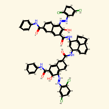 O=C(Nc1ccccc1)c1ccc2c(N=Nc3cc(Cl)ccc3Cl)c(O)c(C(=O)NC3=CC(NC(=O)c4ccc5c(N=Nc6cc(Cl)ccc6Cl)c(O)c(C(=O)Nc6ccccc6)cc5c4)c4cccc5cccc3c45)cc2c1